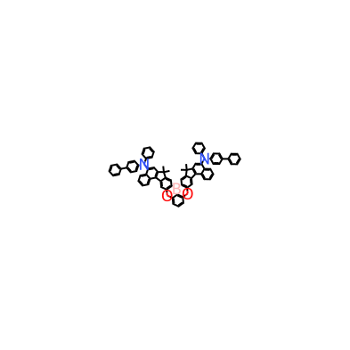 CC1(C)c2cc3c(cc2-c2c1cc(N(c1ccccc1)c1ccc(-c4ccccc4)cc1)c1ccccc21)Oc1cccc2c1B3c1cc3c(cc1O2)-c1c(cc(N(c2ccccc2)c2ccc(-c4ccccc4)cc2)c2ccccc12)C3(C)C